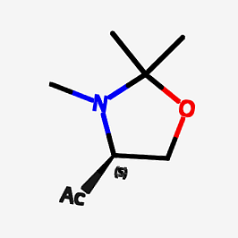 CC(=O)[C@@H]1COC(C)(C)N1C